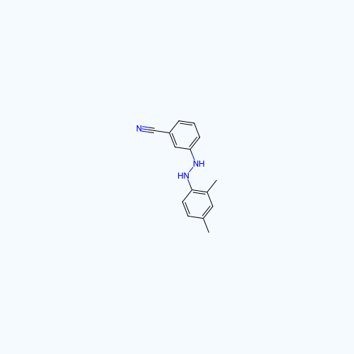 Cc1ccc(NNc2cccc(C#N)c2)c(C)c1